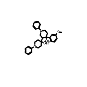 CSc1cccc(C2(O)CCN(c3ccccc3)CC2C2(O)CCN(c3ccccc3)CC2)c1